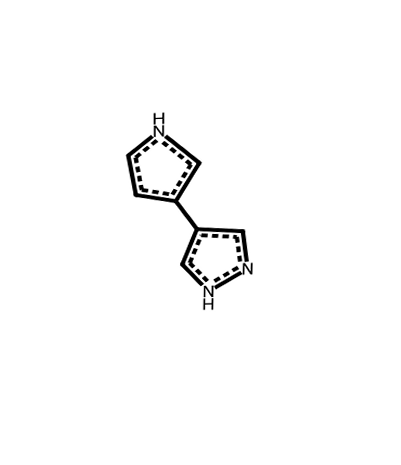 c1cc(-c2cn[nH]c2)c[nH]1